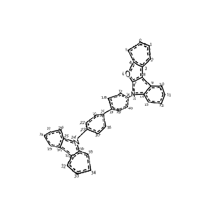 c1ccc2c(c1)oc1c2c2ccccc2n1-c1ccc(-c2ccc(-n3c4ccccc4c4ccccc43)cc2)cc1